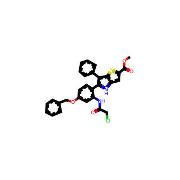 COC(=O)c1cc2[nH]c(-c3ccc(OCc4ccccc4)cc3NC(=O)CCl)c(-c3ccccc3)c2s1